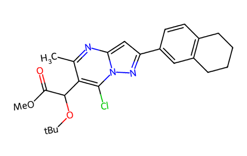 COC(=O)C(OC(C)(C)C)c1c(C)nc2cc(-c3ccc4c(c3)CCCC4)nn2c1Cl